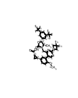 COc1ccc([C@H]2C[C@@H]2C(=O)O)cc1-c1cnc(N2CC(F)(F)C2)nc1CN1C(=O)O[C@H](c2cc(C(F)(F)F)cc(C(F)(F)F)c2)[C@@H]1C